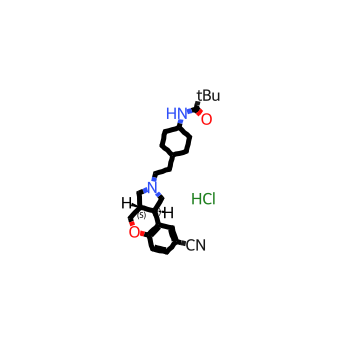 CC(C)(C)C(=O)NC1CCC(CCN2C[C@H]3COc4ccc(C#N)cc4[C@@H]3C2)CC1.Cl